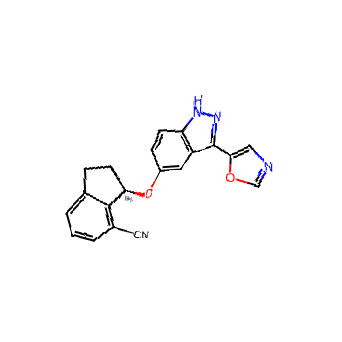 N#Cc1cccc2c1[C@H](Oc1ccc3[nH]nc(-c4cnco4)c3c1)CC2